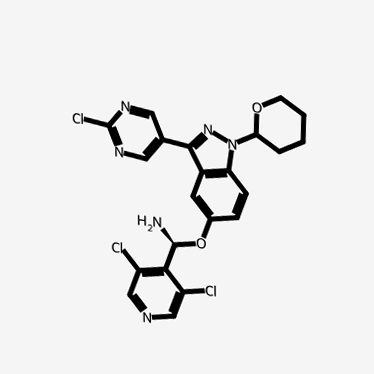 N[C@@H](Oc1ccc2c(c1)c(-c1cnc(Cl)nc1)nn2C1CCCCO1)c1c(Cl)cncc1Cl